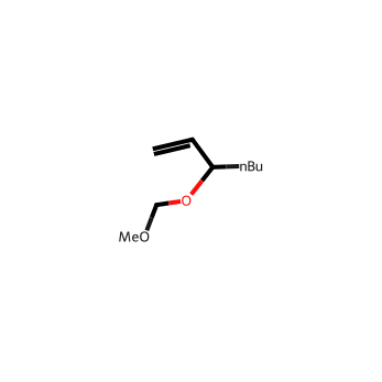 C=CC(CCCC)OCOC